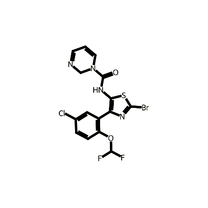 O=C(Nc1sc(Br)nc1-c1cc(Cl)ccc1OC(F)F)N1C=CC=NC1